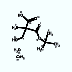 CC(C)(C)OC(=O)C(N)(CO)C(=O)O.O.[CaH2]